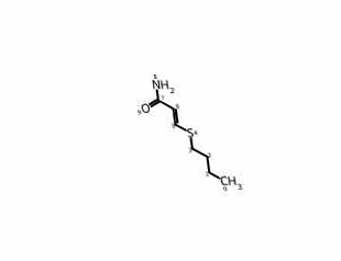 CCCCSC=CC(N)=O